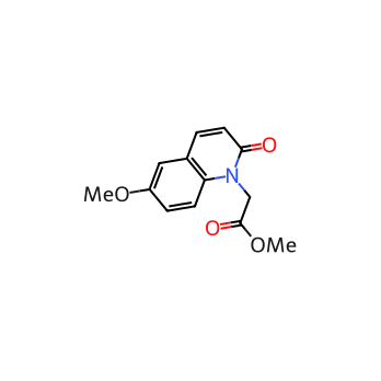 COC(=O)Cn1c(=O)ccc2cc(OC)ccc21